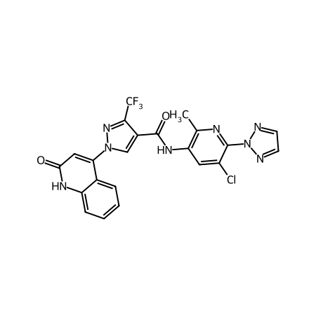 Cc1nc(-n2nccn2)c(Cl)cc1NC(=O)c1cn(-c2cc(=O)[nH]c3ccccc23)nc1C(F)(F)F